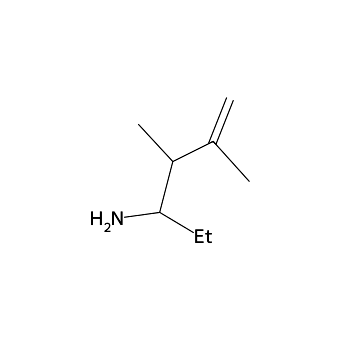 C=C(C)C(C)C(N)CC